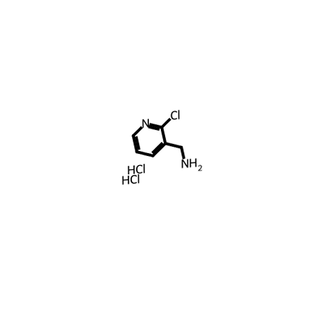 Cl.Cl.NCc1cccnc1Cl